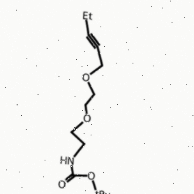 CCC#CCOCCOCCNC(=O)OC(C)(C)C